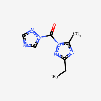 CC(C)(C)Cc1nc(C(Cl)(Cl)Cl)n(C(=O)n2cncn2)n1